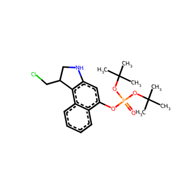 CC(C)(C)OP(=O)(Oc1cc2c(c3ccccc13)C(CCl)CN2)OC(C)(C)C